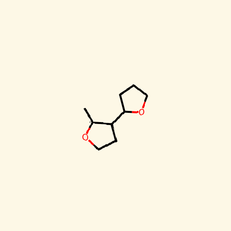 C[C]1OCCC1C1CCCO1